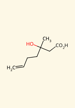 C=CCCC(C)(O)CC(=O)O